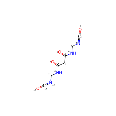 O=C=NCNC(=O)CC(=O)NCN=C=O